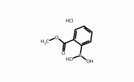 COC(=O)c1ccccc1B(O)O.Cl